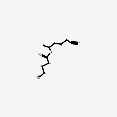 C#CCCCC(C)OC(=O)CCCCl